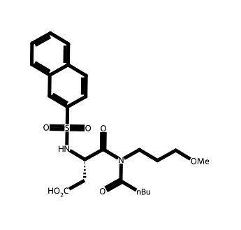 CCCCC(=O)N(CCCOC)C(=O)[C@H](CC(=O)O)NS(=O)(=O)c1ccc2ccccc2c1